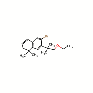 CCOCC(C)(C)c1cc2c(cc1Br)C=CCC2(C)C